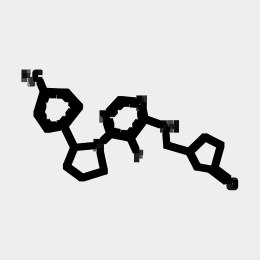 O=C1CCC(CNc2ncnc(N3CCCC3c3ccc(C(F)(F)F)cc3)c2F)C1